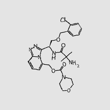 CC(C)(N)C(=O)N[C@H](COCc1ccccc1Cl)c1nnc2cccc(COC(=O)N3CCOCC3)n12